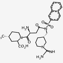 C[C@@H]1CCN(C(=O)[C@@H](N)CC(=O)N(C[C@H]2CCCN(C(=N)N)C2)S(=O)(=O)c2ccc3ccccc3c2)C(C(=O)O)C1